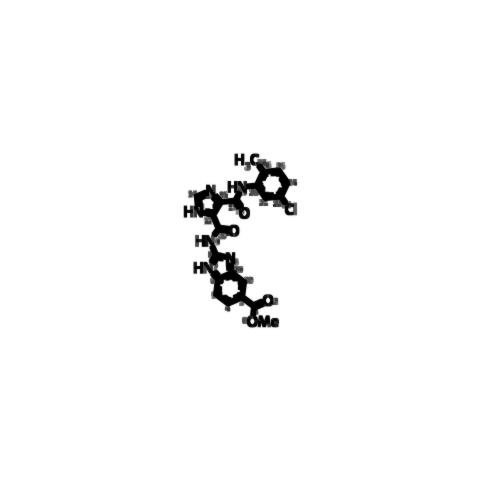 COC(=O)c1ccc2[nH]c(NC(=O)c3[nH]cnc3C(=O)Nc3cc(Cl)ccc3C)nc2c1